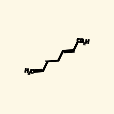 C=C[CH]CC=CC(=O)O